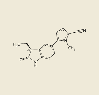 CC[C@@H]1C(=O)Nc2ccc(-c3ccc(C#N)n3C)cc21